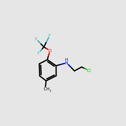 Cc1ccc(OC(F)(F)F)c(NCCCl)c1